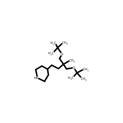 CC(CCC1CCNCC1)(COC(C)(C)C)COC(C)(C)C